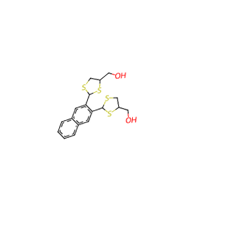 OCC1CSC(c2cc3ccccc3cc2C2SCC(CO)S2)S1